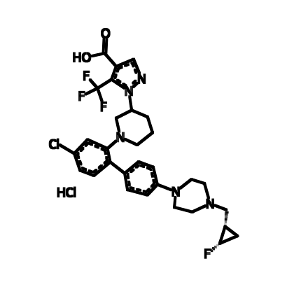 Cl.O=C(O)c1cnn(C2CCCN(c3cc(Cl)ccc3-c3ccc(N4CCN(C[C@@H]5C[C@@H]5F)CC4)cc3)C2)c1C(F)(F)F